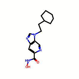 O=C(NO)c1cc2ncn(CCC3CCCCC3)c2cn1